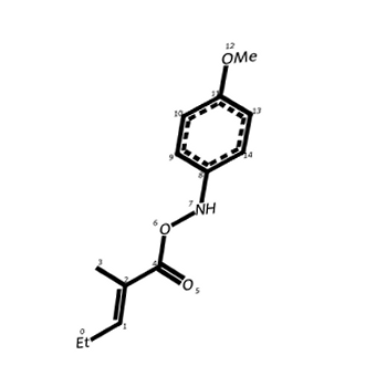 CC/C=C(\C)C(=O)ONc1ccc(OC)cc1